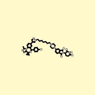 Cc1nnc2n1-c1ccc(-c3cnn(CCCCCCCN4CCN(c5ccc6c(c5)C(=O)N(C5CCC(=O)NC5=O)C6=O)CC4)c3)cc1C(c1ccc(Cl)cc1)=NC21CC1